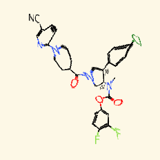 CN(C(=O)Oc1ccc(F)c(F)c1)[C@@H]1CN(C(=O)C2CCN(c3ccc(C#N)cn3)CC2)C[C@H]1c1ccc(Cl)cc1